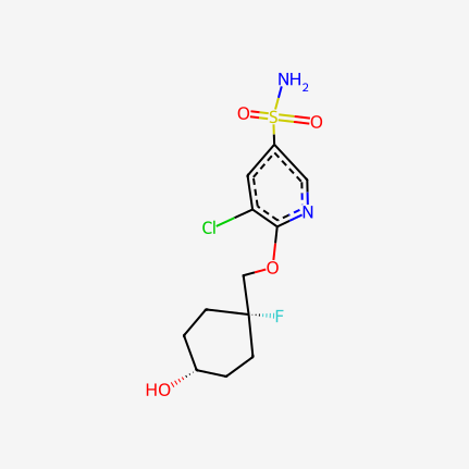 NS(=O)(=O)c1cnc(OC[C@]2(F)CC[C@@H](O)CC2)c(Cl)c1